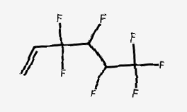 C=CC(F)(F)C(F)C(F)C(F)(F)F